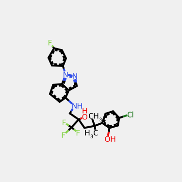 CC(C)(CC(O)(CNc1cccc2c1cnn2-c1ccc(F)cc1)C(F)(F)F)c1ccc(Cl)cc1O